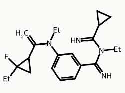 C=C(C1CC1(F)CC)N(CC)c1cccc(C(=N)N(CC)C(=N)C2CC2)c1